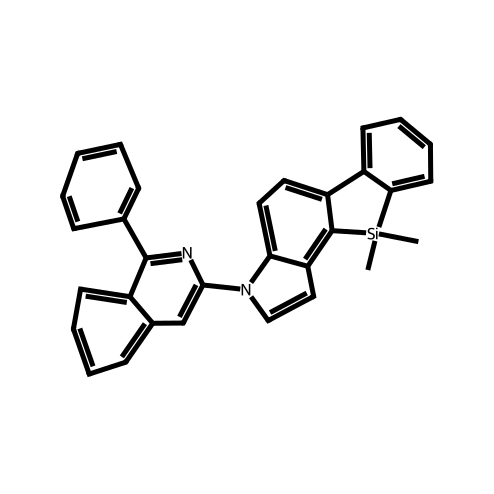 C[Si]1(C)c2ccccc2-c2ccc3c(ccn3-c3cc4ccccc4c(-c4ccccc4)n3)c21